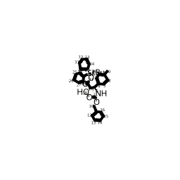 Cc1ccc([C@@H](NC(=O)OCc2ccccc2)[C@@H](O)C(=O)O[Si](c2ccccc2)(c2ccccc2)C(C)(C)C)cc1